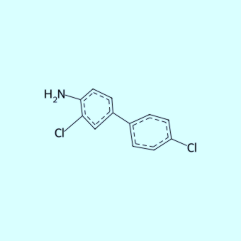 Nc1ccc(-c2ccc(Cl)cc2)cc1Cl